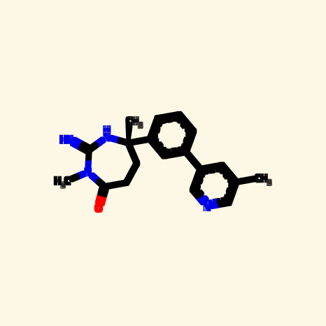 Cc1cncc(-c2cccc([C@]3(C)CCC(=O)N(C)C(=N)N3)c2)c1